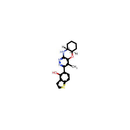 Cc1c(-c2ccc3sccc3c2O)nnc2c1O[C@@H]1CCCC[C@H]1N2